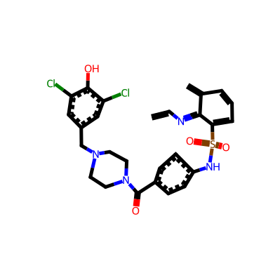 C=C/N=C1\C(=C)C=CC=C1S(=O)(=O)Nc1ccc(C(=O)N2CCN(Cc3cc(Cl)c(O)c(Cl)c3)CC2)cc1